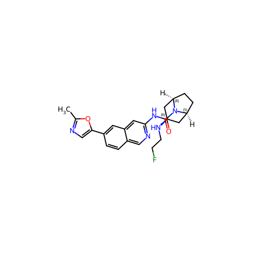 Cc1ncc(-c2ccc3cnc(NC(=O)N4[C@@H]5CC[C@H]4C[C@@H](NCCF)C5)cc3c2)o1